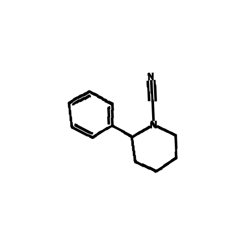 N#CN1CCCCC1c1ccccc1